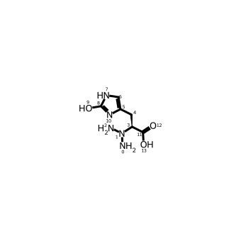 NN(N)[C@@H](Cc1c[nH]c(O)n1)C(=O)O